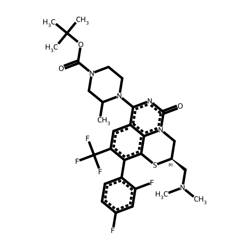 CC1CN(C(=O)OC(C)(C)C)CCN1c1nc(=O)n2c3c(c(-c4ccc(F)cc4F)c(C(F)(F)F)cc13)S[C@H](CN(C)C)C2